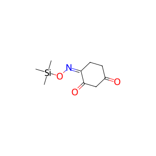 C[Si](C)(C)O/N=C1/CCC(=O)CC1=O